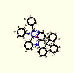 c1ccc(-c2nnc(-c3ccccc3N3c4ccccc4[Si](c4ccccc4)(c4ccccc4)c4ccccc43)n2-c2ccccc2)cc1